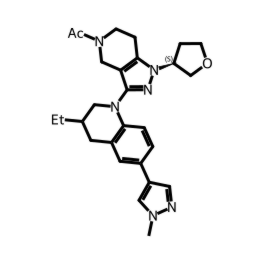 CCC1Cc2cc(-c3cnn(C)c3)ccc2N(c2nn([C@H]3CCOC3)c3c2CN(C(C)=O)CC3)C1